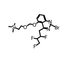 C[Si](C)(C)CCOCOc1cccc2nc(Br)nc(CC(F)C(F)CF)c12